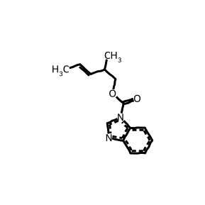 CC=CC(C)COC(=O)n1cnc2ccccc21